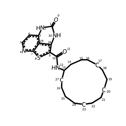 O=C1Nc2ccnc3sc(C(=O)NC4CCCCCCCCCCCCCC4)c(c23)N1